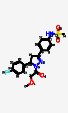 COCC(=O)N1N=C(c2ccc(NS(C)(=O)=O)cc2)CC1c1ccc(F)cc1